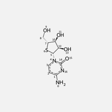 Nc1ccn([C@@H]2S[C@H](CO)[C@@H](O)[C@H]2O)c(=O)n1